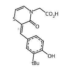 CC(C)(C)c1cc(/C=C2/SC=CN(CC(=O)O)C2=O)ccc1O